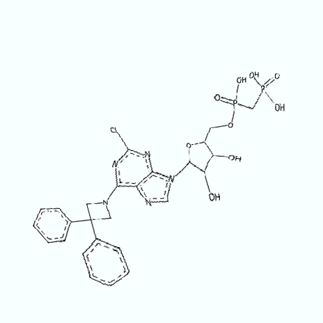 O=P(O)(O)CP(=O)(O)OCC1OC(n2cnc3c(N4CC(c5ccccc5)(c5ccccc5)C4)nc(Cl)nc32)C(O)C1O